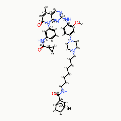 COc1cc(N2CCN(CCCCCCCCNC(=O)C3C[C@H]4CCC3C4)CC2)ccc1Nc1ncc2c(C)cc(=O)n(-c3cccc(NC(=O)C4CC4)c3)c2n1